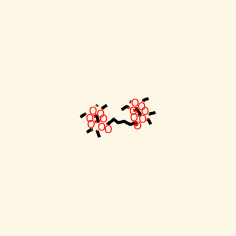 CCOC(OC)(OCC)C(OCC)(OCC)OC(=O)CCCCC(=O)OC(OCC)(OCC)C(OC)(OCC)OCC